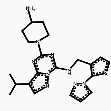 CC(C)c1cnn2c(NCc3ccsc3-n3cccn3)nc(N3CCC(N)CC3)nc12